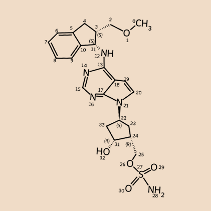 COC[C@H]1Cc2ccccc2[C@H]1Nc1ncnc2c1ccn2[C@H]1C[C@H](COS(N)(=O)=O)[C@H](O)C1